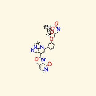 CC1=CC(C)=NC(=O)C1N(C)C(=O)c1cc(-c2cccc(OCC(CN(C)C(=O)OC(C)(C)C)O[Si](C)(C)C(C)(C)C)c2)nc2c1cnn2C(C)C